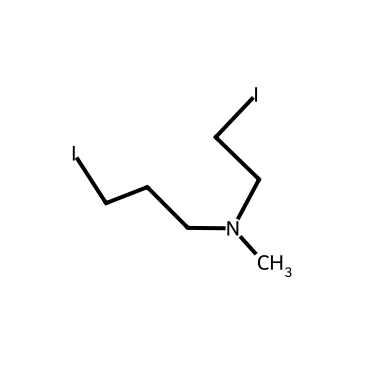 CN(CCI)CCCI